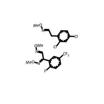 CON=CC(=NOC)c1cc(C(F)(F)F)ccc1F.CON=CCc1ccc(Cl)cc1Cl